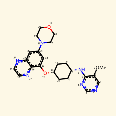 COc1cncnc1N[C@H]1CC[C@@H](Oc2cc(N3CCOCC3)cc3nccnc23)CC1